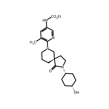 CCOC(=O)Nc1cnc(N2CCC[C@]3(CCN([C@H]4CC[C@@H](O)CC4)C3=O)C2)c(C)c1